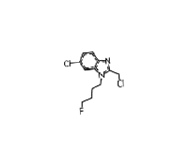 FCCCCn1c(CCl)nc2ccc(Cl)cc21